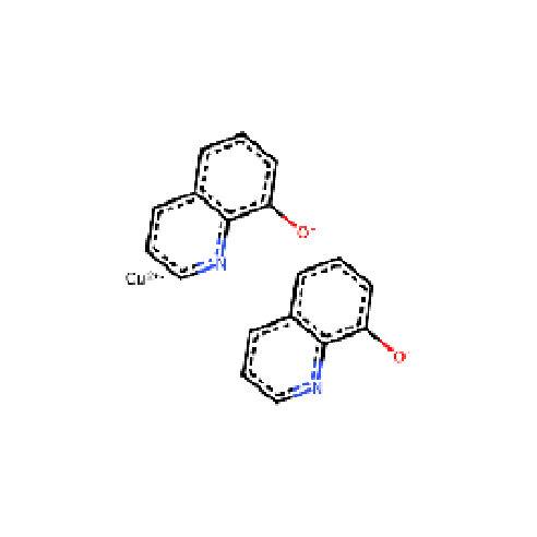 [Cu+2].[O-]c1cccc2cccnc12.[O-]c1cccc2cccnc12